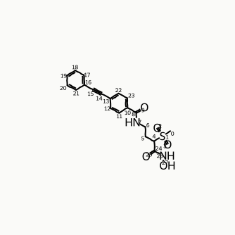 CS(=O)(=O)C(CCNC(=O)c1ccc(C#Cc2ccccc2)cc1)C(=O)NO